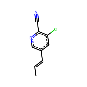 CC=Cc1cnc(C#N)c(Cl)c1